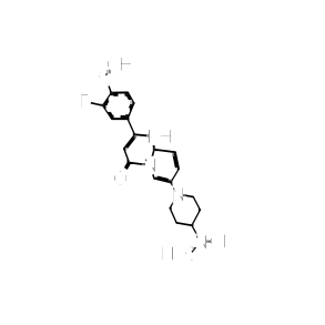 COc1ccc(C2=CC(=O)N3C=C(N4CCC(N(C)C)CC4)C=CC3P2)cc1F